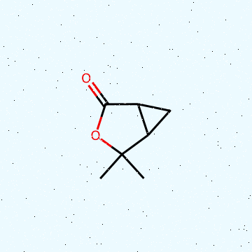 CC1(C)OC(=O)C2CC21